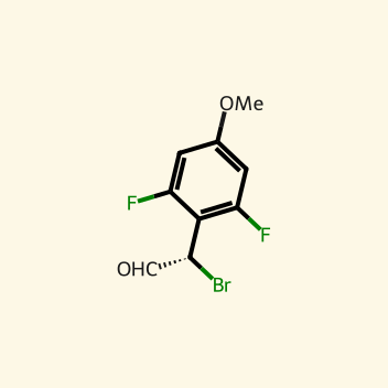 COc1cc(F)c([C@H](Br)C=O)c(F)c1